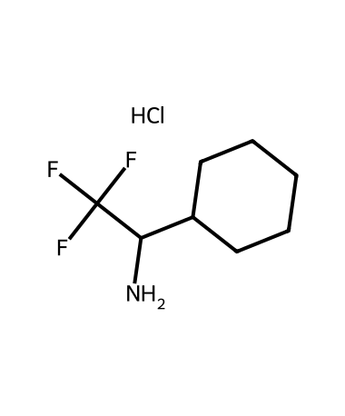 Cl.NC(C1CCCCC1)C(F)(F)F